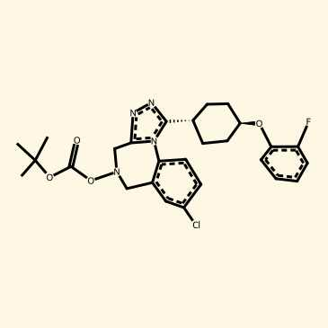 CC(C)(C)OC(=O)ON1Cc2cc(Cl)ccc2-n2c(nnc2[C@H]2CC[C@H](Oc3ccccc3F)CC2)C1